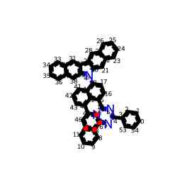 c1ccc(-c2nc(-c3ccccc3)nc(-c3ccc(-n4c5cc6ccccc6cc5c5cc6ccccc6cc54)c4cccc(-c5ccccc5)c34)n2)cc1